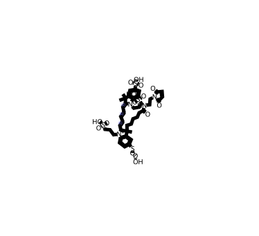 CC1(CCCCCC(=O)NCCN2C(=O)C=CC2=O)C(/C=C/C=C/C=C2\N(CCCS(=O)(=O)O)c3ccc(S(=O)(=O)O)cc3C2(C)C)=[N+](CCCS(=O)(=O)O)c2ccc(SOOO)cc21